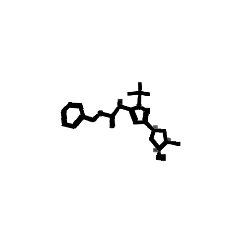 C[C@@H]1C[C@H](c2cc(NC(=O)OCc3ccccc3)n(C(C)(C)C)n2)C[C@H]1O